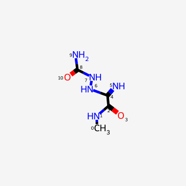 CNC(=O)C(=N)NNC(N)=O